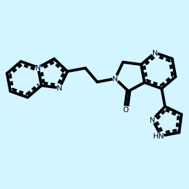 O=C1c2c(-c3cc[nH]n3)ccnc2CN1CCc1cn2ccccc2n1